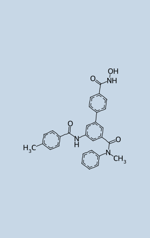 Cc1ccc(C(=O)Nc2cc(C(=O)N(C)c3ccccc3)cc(-c3ccc(C(=O)NO)cc3)c2)cc1